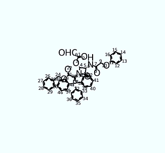 O=CC(=O)O[C@@H]1[C@H](NC(=O)COc2ccccc2)C(=O)N1C(C(=O)OCc1ccccc1)=P(c1ccccc1)(c1ccccc1)c1ccccc1